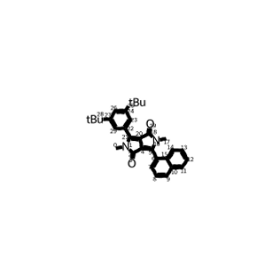 CN1C(=O)C2=C(c3cccc4ccccc34)N(C)C(=O)C2=C1c1cc(C(C)(C)C)cc(C(C)(C)C)c1